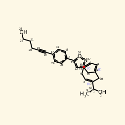 C[C@H](O)/C1=C/C/C=C\C=C(/Cc2cc(-c3ccc(C#CCCCO)cc3)on2)C1